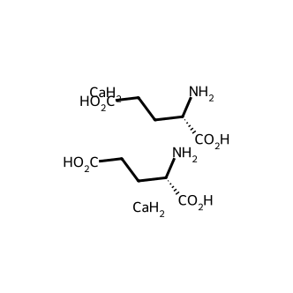 N[C@@H](CCC(=O)O)C(=O)O.N[C@@H](CCC(=O)O)C(=O)O.[CaH2].[CaH2]